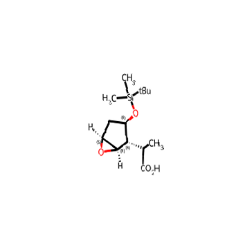 CC(C(=O)O)[C@@H]1[C@H]2O[C@H]2C[C@H]1O[Si](C)(C)C(C)(C)C